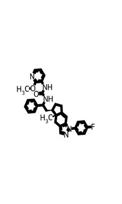 COc1ncccc1NC(=O)NC(C[C@H]1CCC2=Cc3c(cnn3-c3ccc(F)cc3)C[C@@]21C)c1ccccc1